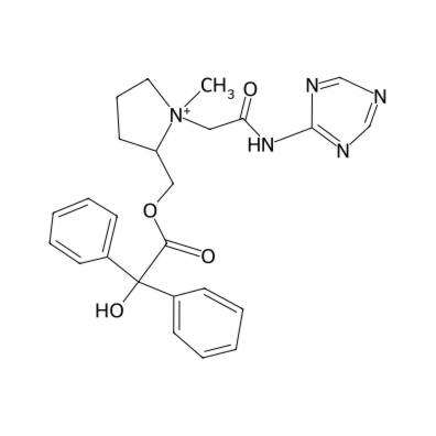 C[N+]1(CC(=O)Nc2ncncn2)CCCC1COC(=O)C(O)(c1ccccc1)c1ccccc1